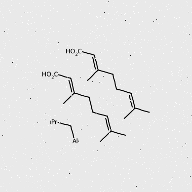 CC(C)=CCC/C(C)=C/C(=O)O.CC(C)=CCC/C(C)=C/C(=O)O.CC(C)[CH2][Al]